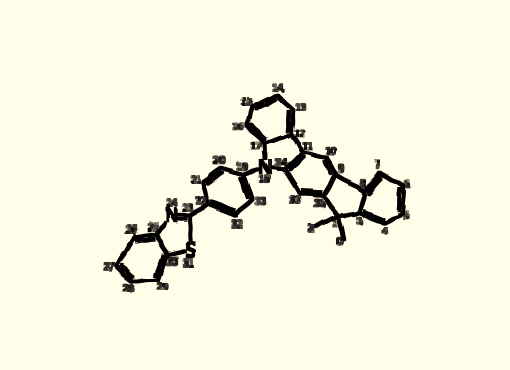 CC1(C)c2ccccc2-c2cc3c4ccccc4n(-c4ccc(-c5nc6ccccc6s5)cc4)c3cc21